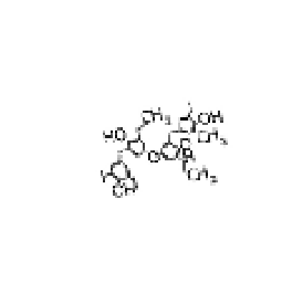 C=CCc1cc(Oc2cc(CC=C)c(O)c(Cc3cc(I)c(O)c(I)c3)c2)cc(Cc2cc(C)c(O)c(I)c2)c1O